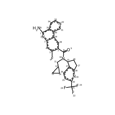 Nc1nc2cc(F)c(C(=O)N(CC3CC3)C3CCc4nc(C(F)(F)F)ccc43)cc2c2cnccc12